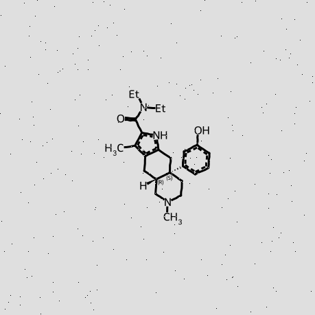 CCN(CC)C(=O)c1[nH]c2c(c1C)C[C@H]1CN(C)CC[C@]1(c1cccc(O)c1)C2